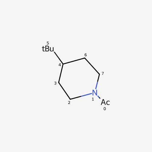 CC(=O)N1CCC(C(C)(C)C)CC1